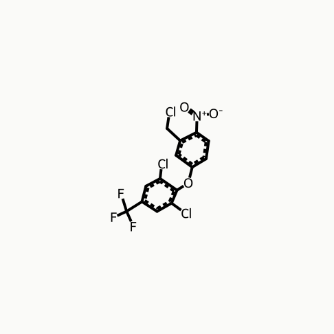 O=[N+]([O-])c1ccc(Oc2c(Cl)cc(C(F)(F)F)cc2Cl)cc1CCl